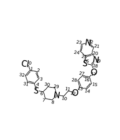 Clc1ccc(SC2CCN(CCOc3ccc(Oc4nc5cnccc5s4)cc3)CC2)cc1